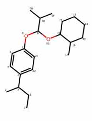 CCC(C)c1ccc(OC(OC2CCCCC2C)C(C)C)cc1